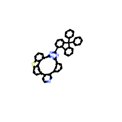 c1ccc(C2(c3ccccc3)c3ccccc3-c3c(-c4nc5nc(n4)c4cccc6sc7ccc(cc7c64)c4ccncc4c4cccc5c4)cccc32)cc1